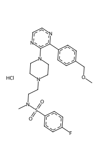 COCc1ccc(-c2nccnc2N2CCN(CCN(C)S(=O)(=O)c3ccc(F)cc3)CC2)cc1.Cl